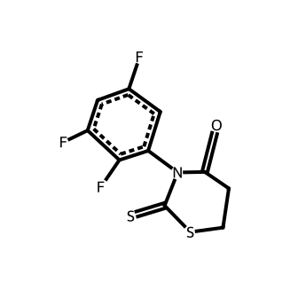 O=C1CCSC(=S)N1c1cc(F)cc(F)c1F